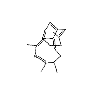 CC1=C/C(C2=C\C=C/CC\C(C)=C\2)=C/CC(C)/C(C)=N\1